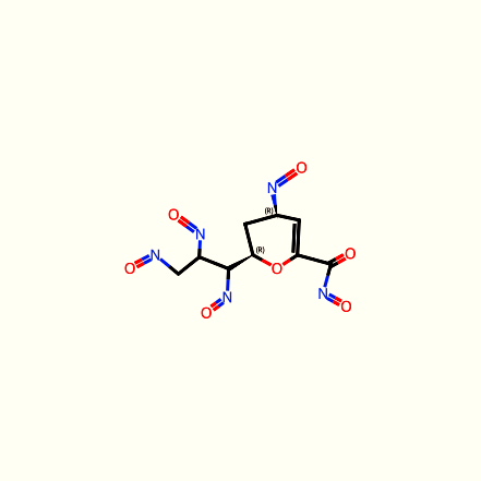 O=NCC(N=O)C(N=O)[C@H]1C[C@@H](N=O)C=C(C(=O)N=O)O1